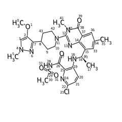 COc1cn(C)nc1C1CCN(c2nc3c([C@@H](C)Nc4ccc(Cl)nc4C(=O)NS(C)(=O)=O)cc(C)cc3c(=O)n2C)CC1